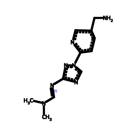 CN(C)/C=N/c1ncn(-c2ccc(CN)cn2)n1